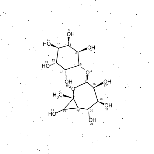 C[C@@]12O[C@@H](O[C@H]3[C@H](O)[C@H](O)[C@H](O)[C@@H](O)[C@H]3O)[C@@H](O)[C@@H](O)[C@H](O)C1C2O